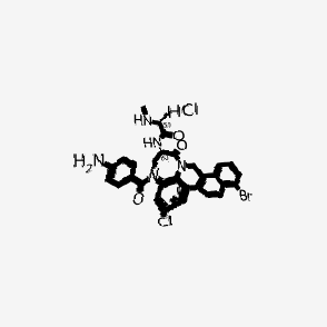 CN[C@@H](C)C(=O)N[C@H]1CN(C(=O)c2ccc(N)cc2)c2cc(Cl)ccc2N(Cc2c(OC)ccc3c(Br)cccc23)C1=O.Cl